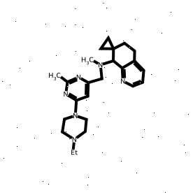 CCN1CCN(c2cc(CN(C)C3c4ncccc4CCC34CC4)nc(C)n2)CC1